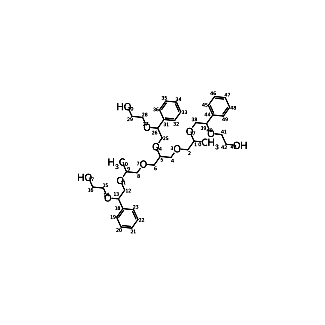 CC(COCC(COCC(C)OCC(OCCO)c1ccccc1)OCC(OCCO)c1ccccc1)OCC(OCCO)c1ccccc1